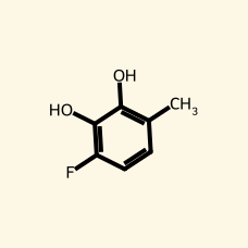 Cc1ccc(F)c(O)c1O